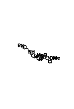 CCN1CCC(CCNCC2CCN(c3ccn4cc(-c5cc(Cl)c(OC)cc5OC)nc4c3)CC2)CC1